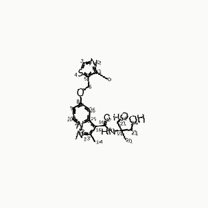 Cc1ncsc1COc1ccn2nc(C)c(C(=O)NC(C)(CO)CO)c2c1